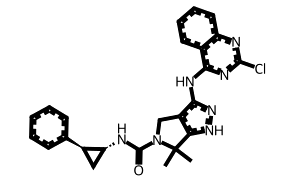 CC1(C)c2[nH]nc(Nc3nc(Cl)nc4ccccc34)c2CN1C(=O)N[C@@H]1C[C@H]1c1ccccc1